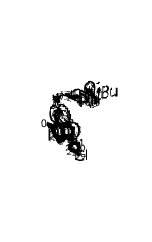 Cc1ncc2c(c1OC(=O)[C@@H]1C[C@@H]1CCON=[N+]([O-])N(C)C(C)(C)C)CO[C@H]2c1ccc(Cl)cc1